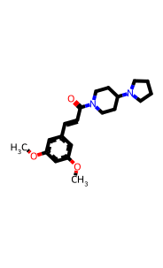 COc1cc(C=CC(=O)N2CCC(N3CCCC3)CC2)cc(OC)c1